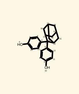 Oc1ccc(C2(c3ccc(O)cc3)[C]3CC4CC(C3)CC2C4)cc1